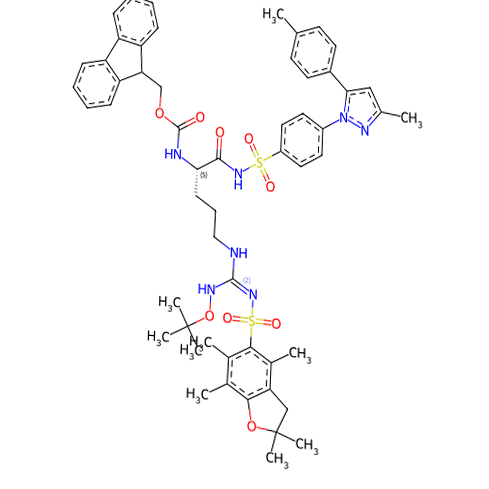 Cc1ccc(-c2cc(C)nn2-c2ccc(S(=O)(=O)NC(=O)[C@H](CCCN/C(=N/S(=O)(=O)c3c(C)c(C)c4c(c3C)CC(C)(C)O4)NOC(C)(C)C)NC(=O)OCC3c4ccccc4-c4ccccc43)cc2)cc1